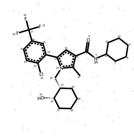 Cc1c(C(=O)NC2CCCCC2)cc(-c2cc(C(F)(F)F)ccc2Cl)n1C[C@@H]1CCCC[C@@H]1O